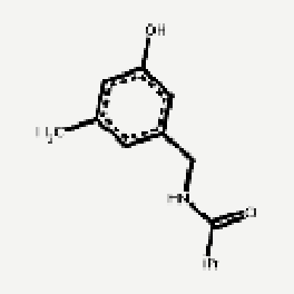 Cc1cc(O)cc(CNC(=O)C(C)C)c1